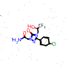 NC(=O)Cn1nc(C2=CCC(Cl)C=C2)n(CC(O)C(F)(F)F)c1=O